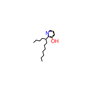 CCCCCCCC(CCCC)c1ncccc1O